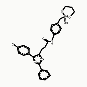 O=C(CCc1oc(-c2ccccc2)nc1-c1ccc(Cl)cc1)Nc1ccc(C[PH]2(O)OCCCO2)cc1